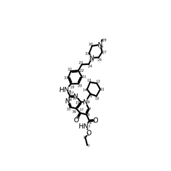 CCONC(=O)c1cn(C2CCCCC2)c2nc(Nc3ccc(CCN4CCN(C)CC4)cc3)ncc2c1=O